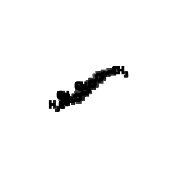 C=CC(=O)N(C)CCCc1ccc(-c2ccc(-c3ccc(C4CCC(CCCCC)CC4)cc3)cc2CC)cc1